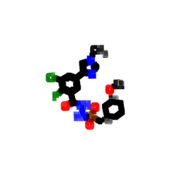 CCO[C@@H]1CCC[C@H](CS(=O)(=O)NNC(=O)c2cc(-c3cn(C)cn3)cc(Cl)c2F)C1